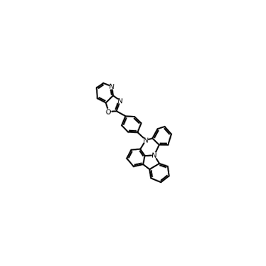 c1ccc2c(c1)N(c1ccc(-c3nc4ncccc4o3)cc1)c1cccc3c4ccccc4n-2c13